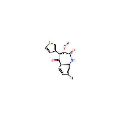 COc1c(-c2ccsc2)c(=O)c2ccc(Cl)cc2[nH]c1=O